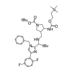 CC(C)(C)OC(=O)N1CC(CNC(c2nc(-c3cc(F)ccc3F)cn2Cc2ccccc2)C(C)(C)C)C(NC(=O)OCC[Si](C)(C)C)C1